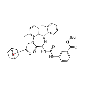 Cc1cccc2c1N(CC(=O)N1CC3CCC(CC3)C1)C(=O)C(NC(=O)Nc1cccc(C(=O)OC(C)(C)C)c1)N=C2c1ccccc1F